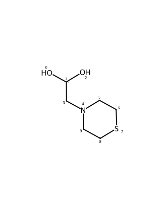 O[C](O)CN1CCSCC1